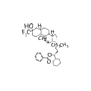 C[C@H](CC[C@H](OC(=O)c1ccccc1)C1CCCCC1)[C@H]1CC[C@H]2C3CC[C@H]4C[C@](O)(C(F)(F)F)CC[C@]4(C)C3CC[C@]12C